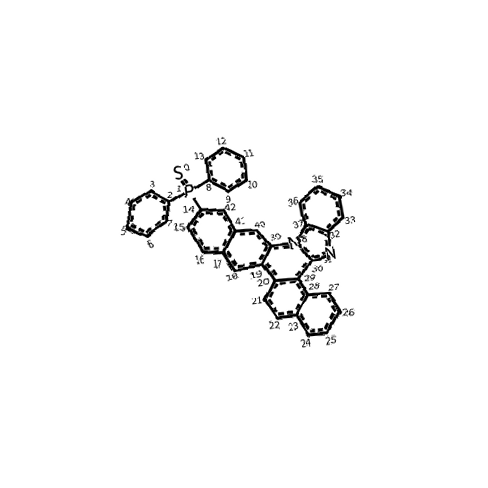 S=P(c1ccccc1)(c1ccccc1)c1ccc2cc3c4ccc5ccccc5c4c4nc5ccccc5n4c3cc2c1